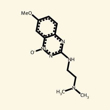 COc1ccc2nc(NCCN(C)C)n[n+]([O-])c2c1